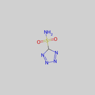 NS(=O)(=O)C1N=NN=N1